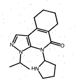 CC(C)n1ncc2c3c(c(=O)n(C4CCCN4)c21)CCCC3